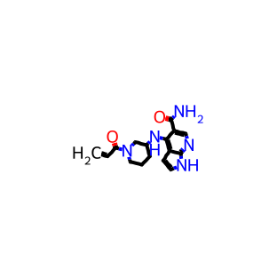 C=CC(=O)N1CCCC(Nc2c(C(N)=O)cnc3[nH]ccc23)C1